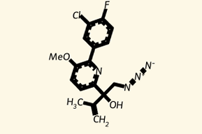 C=C(C)C(O)(CN=[N+]=[N-])c1ccc(OC)c(-c2ccc(F)c(Cl)c2)n1